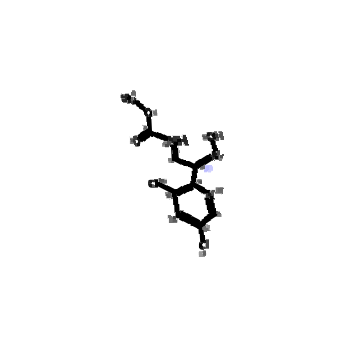 CC(C)(C)OC(=O)NC/C(=N\O)c1ncc(Cl)cc1Cl